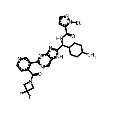 CCn1nccc1C(=O)NC(c1nc2nc(-c3cnccc3C(=O)N3CC(F)(F)C3)ncc2[nH]1)C1CCC(C)CC1